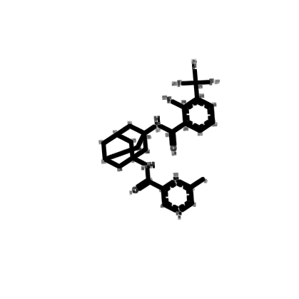 Cc1cncc(C(=O)NC23CC4CC(C2)CC(NC(=O)c2cccc(C(F)(F)F)c2F)(C4)C3)n1